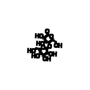 O=C1O[C@H](CO)C(O[C@@H]2O[C@H](CO)[C@@H](O)[C@H](O)[C@H]2O)[C@H](O)[C@H]1O